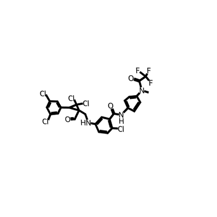 CN(C(=O)C(F)(F)F)c1ccc(NC(=O)c2cc(NCC3(C=O)C(c4cc(Cl)cc(Cl)c4)C3(Cl)Cl)ccc2Cl)cc1